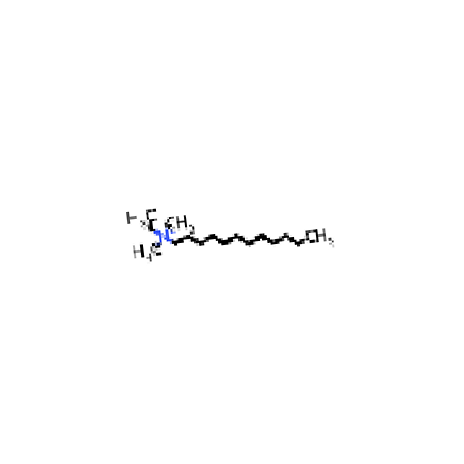 CCCCCCCCCCCC[N+](C)(C)CC